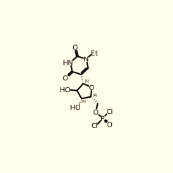 CCn1cc([C@@H]2O[C@H](COP(=O)(Cl)Cl)[C@H](O)C2O)c(=O)[nH]c1=O